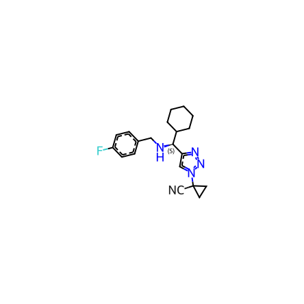 N#CC1(n2cc([C@@H](NCc3ccc(F)cc3)C3CCCCC3)nn2)CC1